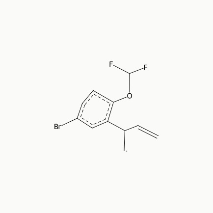 [CH2]C(C=C)c1cc(Br)ccc1OC(F)F